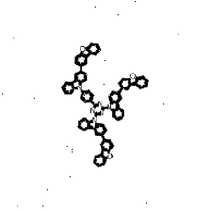 c1ccc2c(c1)oc1ccc(-c3ccc4c(c3)c3ccccc3n4-c3ccc(-c4nc(-n5c6ccccc6c6cc(-c7ccc8oc9ccccc9c8c7)ccc65)nc(-n5c6ccccc6c6cc(-c7ccc8oc9ccccc9c8c7)ccc65)n4)cc3)cc12